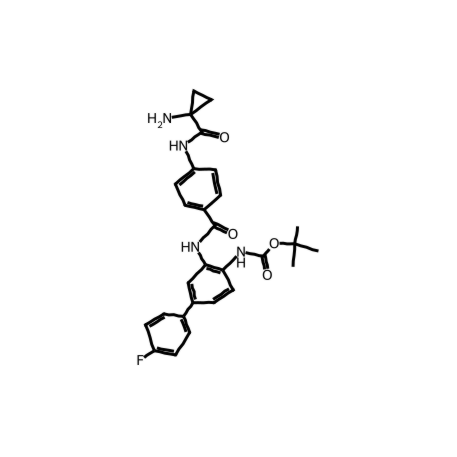 CC(C)(C)OC(=O)Nc1ccc(-c2ccc(F)cc2)cc1NC(=O)c1ccc(NC(=O)C2(N)CC2)cc1